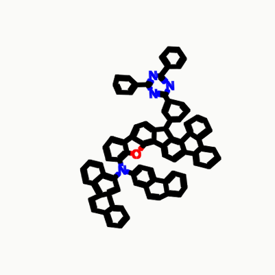 c1ccc(-c2nc(-c3ccccc3)nc(-c3cccc(C4c5ccc6c(oc7c(N(c8ccc9c(ccc%10ccccc%109)c8)c8cc9c%10ccccc%10ccc9c9ccccc89)cccc76)c5-c5ccc6c7ccccc7c7ccccc7c6c54)c3)n2)cc1